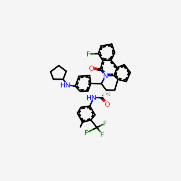 Cc1ccc(NC(=O)[C@H]2Cc3cccc4c5cccc(F)c5c(=O)n(c34)C2c2ccc(NC3CCCC3)cc2)cc1C(F)(F)F